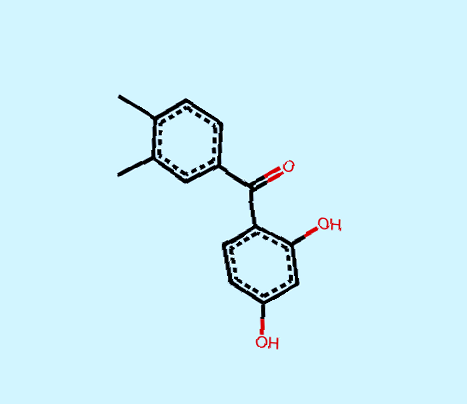 Cc1ccc(C(=O)c2ccc(O)cc2O)cc1C